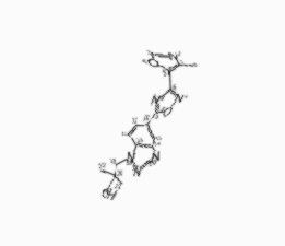 Cc1ncoc1-c1noc(-c2ccc3c(c2)nnn3CC(C)(C)O)n1